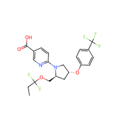 CCC(F)(F)OC[C@@H]1C[C@@H](Oc2ccc(C(F)(F)F)cc2)CN1c1ccc(C(=O)O)cn1